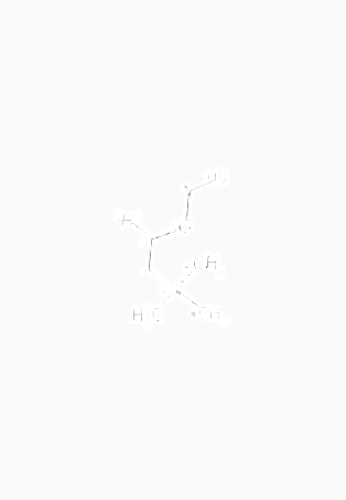 [2H]C(C[Si](C)(C)C)OCCl